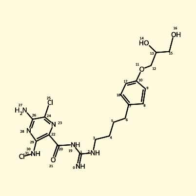 N=C(NCCCCc1ccc(OCC(O)CO)cc1)NC(=O)c1nc(Cl)c(N)nc1NCl